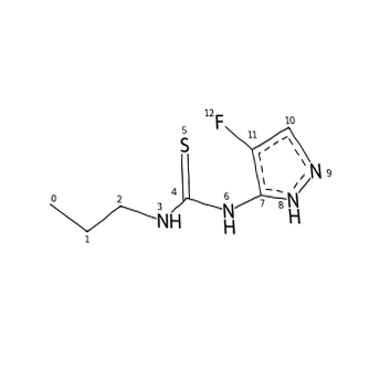 CCCNC(=S)Nc1[nH]ncc1F